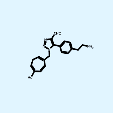 CC(=O)C1=CCC=C(Cn2nnc(C=O)c2-c2ccc(CCN)cc2)C=C1